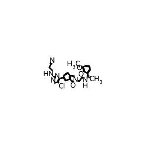 COc1cccc([C@@H](C)NC(=O)CN2Cc3ccc(-c4nc(NCCC#N)ncc4Cl)cc3C2=O)c1